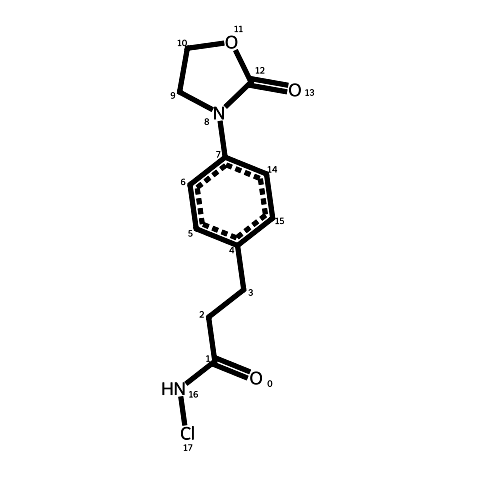 O=C(CCc1ccc(N2CCOC2=O)cc1)NCl